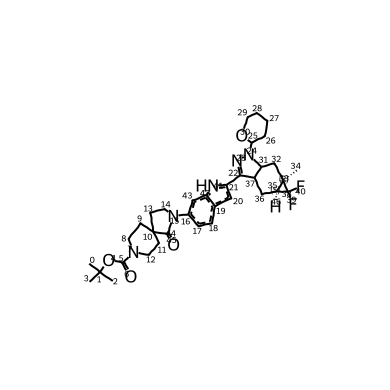 CC(C)(C)OC(=O)N1CCC2(CC1)CCN(c1ccc3cc(C4=NN(C5CCCCO5)C5C[C@]6(C)[C@H](CC45)C6(F)F)[nH]c3c1)C2=O